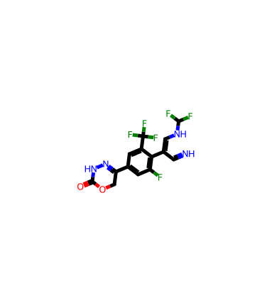 N=C/C(=C\NC(F)F)c1c(F)cc(C2=NNC(=O)OC2)cc1C(F)(F)F